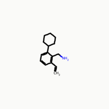 C=Cc1cccc(C2CCCCC2)c1CN